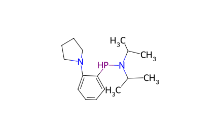 CC(C)N(Pc1ccccc1N1CCCC1)C(C)C